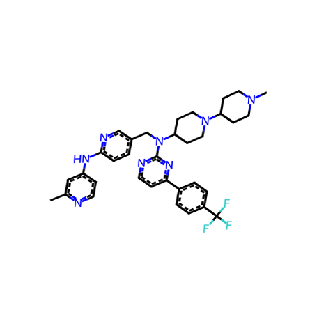 Cc1cc(Nc2ccc(CN(c3nccc(-c4ccc(C(F)(F)F)cc4)n3)C3CCN(C4CCN(C)CC4)CC3)cn2)ccn1